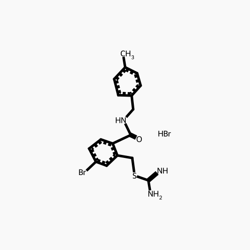 Br.Cc1ccc(CNC(=O)c2ccc(Br)cc2CSC(=N)N)cc1